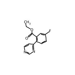 CCOC(=O)c1cc(F)ccc1-c1ccncn1